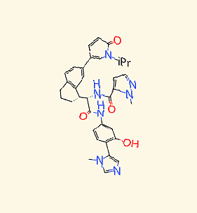 CC(C)n1cc(-c2ccc3c(c2)[C@H]([C@H](NC(=O)c2ccnn2C)C(=O)Nc2ccc(-c4cncn4C)c(O)c2)CCC3)ccc1=O